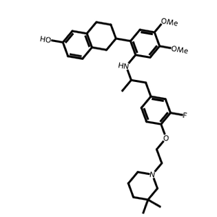 COc1cc(NC(C)Cc2ccc(OCCN3CCCC(C)(C)C3)c(F)c2)c(C2CCc3cc(O)ccc3C2)cc1OC